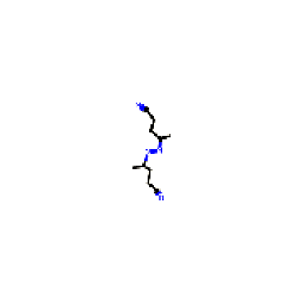 CC(CCC#N)/N=N/C(C)CCC#N